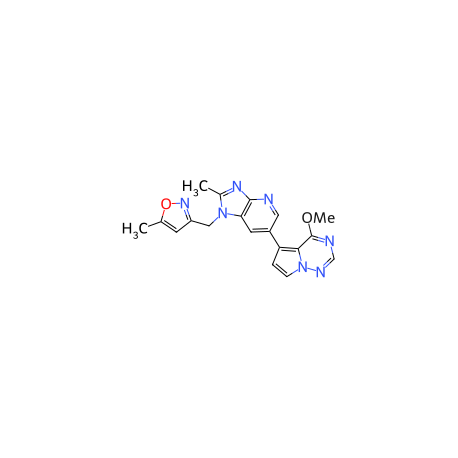 COc1ncnn2ccc(-c3cnc4nc(C)n(Cc5cc(C)on5)c4c3)c12